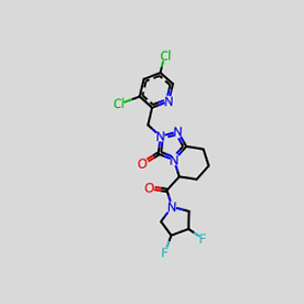 O=C(C1CCCc2nn(Cc3ncc(Cl)cc3Cl)c(=O)n21)N1CC(F)C(F)C1